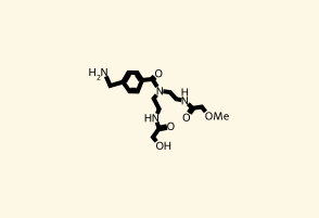 COCC(=O)NCCN(CCNC(=O)CO)C(=O)c1ccc(CN)cc1